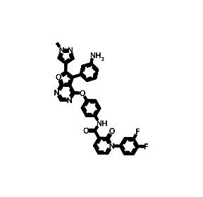 Cn1cc(-c2oc3ncnc(Oc4ccc(NC(=O)c5cccn(-c6ccc(F)c(F)c6)c5=O)cc4)c3c2-c2cccc(N)c2)cn1